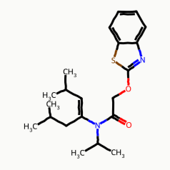 CC(C)C=C(CC(C)C)N(C(=O)COc1nc2ccccc2s1)C(C)C